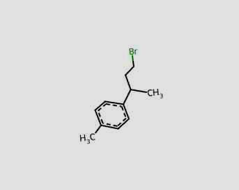 Cc1ccc(C(C)CCBr)cc1